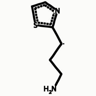 NCC[CH]c1nccs1